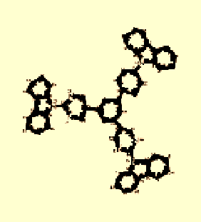 c1ccc2c(c1)c1ccccc1n2-c1ccc(-c2cc(-c3cnc(-n4c5ccccc5c5ccccc54)nc3)cc(-c3cnc(-n4c5ccccc5c5ccccc54)nc3)c2)cc1